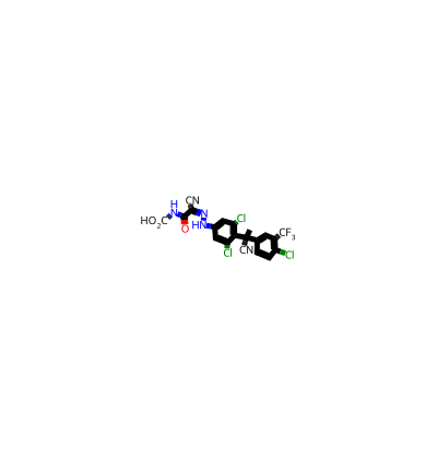 CC(C#N)(c1ccc(Cl)c(C(F)(F)F)c1)c1c(Cl)cc(NN=C(C#N)C(=O)NC(=O)O)cc1Cl